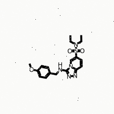 CCN(CC)S(=O)(=O)c1ccc2nnc(NCc3ccc(OC)cc3)n2c1